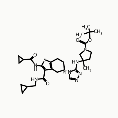 CC1(Nc2nncn2[C@H]2CCc3sc(NC(=O)C4CC4)c(C(=O)NCC4CC4)c3C2)CCN(C(=O)OC(C)(C)C)C1